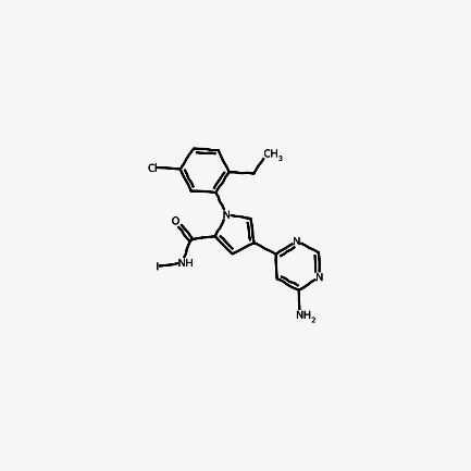 CCc1ccc(Cl)cc1-n1cc(-c2cc(N)ncn2)cc1C(=O)NI